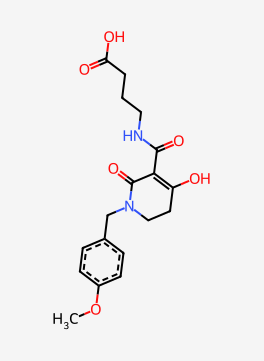 COc1ccc(CN2CCC(O)=C(C(=O)NCCCC(=O)O)C2=O)cc1